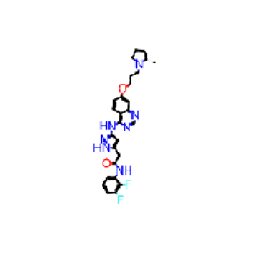 C[C@H]1CCCN1CCCOc1ccc2c(Nc3cc(CC(=O)Nc4cccc(F)c4F)[nH]n3)ncnc2c1